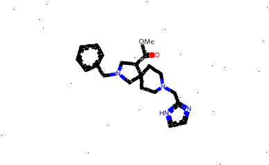 COC(=O)C1CN(Cc2ccccc2)CC12CCN(Cc1ncc[nH]1)CC2